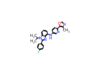 Cc1ncoc1-c1ccc(Nc2cccc3c2nc(-c2ccc(F)cc2)n3C(C)C)cn1